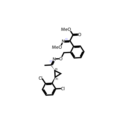 CO/N=C(/C(=O)OC)c1ccccc1CO/N=C(/C)[C@@H]1C[C@H]1c1c(Cl)cccc1Cl